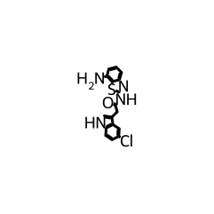 Nc1cccc2nc(NC(=O)Cc3c[nH]c4ccc(Cl)cc34)sc12